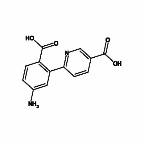 Nc1ccc(C(=O)O)c(-c2ccc(C(=O)O)cn2)c1